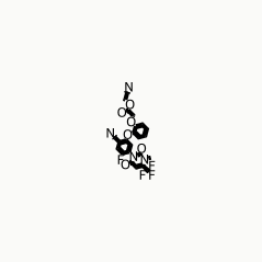 Cn1c(C(F)(F)F)cc(=O)n(-c2cc(Oc3ccccc3OCC(=O)OCC#N)c(C#N)cc2F)c1=O